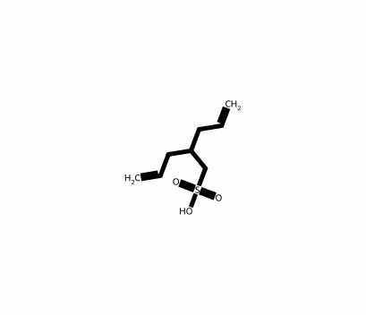 C=CCC(CC=C)CS(=O)(=O)O